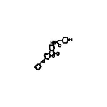 O=C(CC1CCNCC1)Nc1ccc2c(c1)c(=O)oc1cc(OCc3ccccc3)ccc12